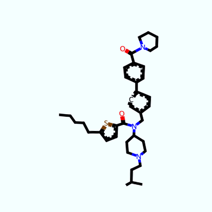 CCCCCc1ccc(C(=O)N(Cc2ccc(-c3ccc(C(=O)N4CCCCC4)cc3)cc2)C2CCN(CCC(C)C)CC2)s1